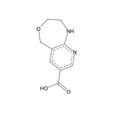 O=C(O)c1cnc2c(c1)COCCN2